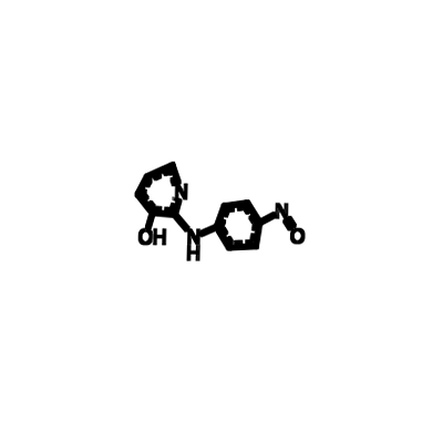 O=Nc1ccc(Nc2ncccc2O)cc1